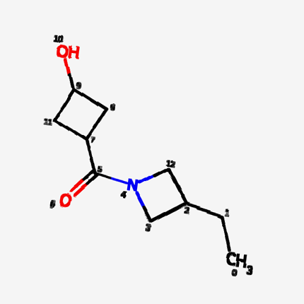 CCC1CN(C(=O)C2CC(O)C2)C1